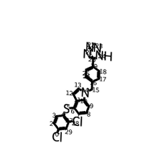 Clc1ccc(Sc2cccc3c2ccn3Cc2ccc(-c3nnn[nH]3)cc2)c(Cl)c1